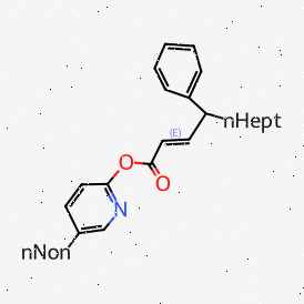 CCCCCCCCCc1ccc(OC(=O)/C=C/C(CCCCCCC)c2ccccc2)nc1